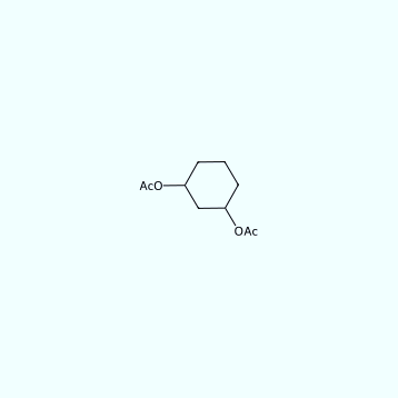 CC(=O)OC1CCCC(OC(C)=O)C1